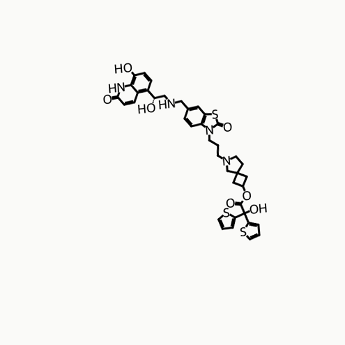 O=C(OC1CC2(CCN(CCCn3c(=O)sc4cc(CNC[C@H](O)c5ccc(O)c6[nH]c(=O)ccc56)ccc43)C2)C1)C(O)(c1cccs1)c1cccs1